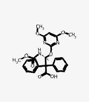 COC(=O)N[C@H](Oc1nc(OC)cc(OC)n1)C(C(=O)O)(c1ccccc1)c1ccccc1